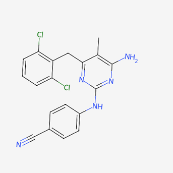 Cc1c(N)nc(Nc2ccc(C#N)cc2)nc1Cc1c(Cl)cccc1Cl